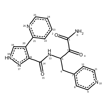 NC(=O)C(=O)C(Cc1ccncc1)NC(=O)c1n[nH]cc1-c1ccccn1